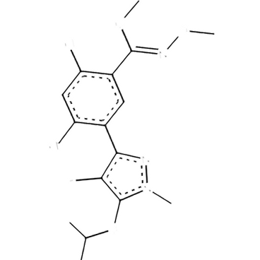 CON=C(OC)c1cc(-c2nn(C)c(OC(F)F)c2F)c(Cl)cc1Cl